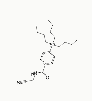 CCC[CH2][Sn]([CH2]CCC)([CH2]CCC)[c]1ccc(C(=O)NCC#N)cc1